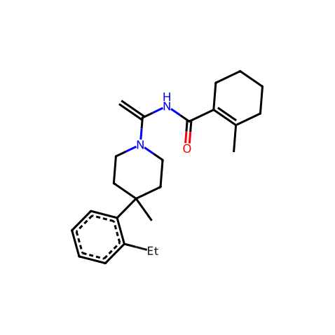 C=C(NC(=O)C1=C(C)CCCC1)N1CCC(C)(c2ccccc2CC)CC1